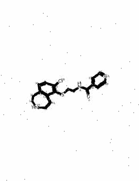 O=C(NCCSc1c(Cl)ccc2c1CCNCC2)c1ccncc1